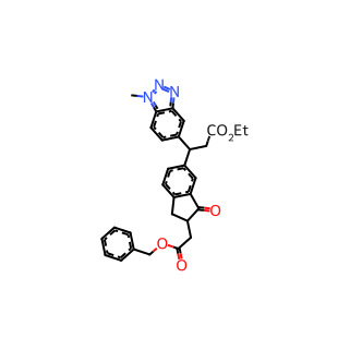 CCOC(=O)CC(c1ccc2c(c1)C(=O)C(CC(=O)OCc1ccccc1)C2)c1ccc2c(c1)nnn2C